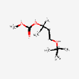 COC(=O)OC(C)(C)CCOC(C)(C)C